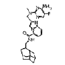 CN(Cc1cn2c(C(=O)NCC34CC5CC6CC(C3)C6(C5)C4)cccc2n1)c1ncc(F)c(N)n1